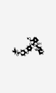 COCc1cccc(NC(=O)c2cc3sccc3n2C)c1COc1ccc(OC2CCN(C(=O)OC(C)(C)C)CC2)cc1